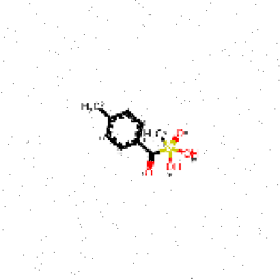 Cc1ccc(C(=O)S(C)(=O)(O)O)cc1